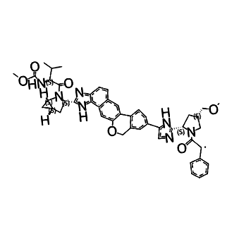 COC[C@H]1C[C@@H](c2ncc(-c3ccc4c(c3)COc3cc5c(ccc6nc([C@@H]7C[C@@H]8C[C@@H]8N7C(=O)[C@@H](NC(=O)OC)C(C)C)[nH]c65)cc3-4)[nH]2)N(C(=O)[CH]c2ccccc2)C1